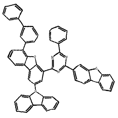 c1ccc(-c2cccc(-c3cccc4c3oc3c(-c5nc(-c6ccccc6)nc(-c6ccc7c(c6)sc6ccccc67)n5)cc(-n5c6ccccc6c6ccccc65)cc34)c2)cc1